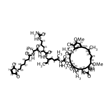 C=C/C(=C\C=C(/C)NC(=O)O[C@H]1CC(=O)N(C)c2cc(cc(OC)c2Cl)C/C(C)=C/C=C/[C@@H](OC)[C@@]2(O)C[C@H](OC(=O)N2)[C@@H](C)[C@@H]2O[C@@]12C)NC(=O)[C@H](CCCNC(N)=O)NC(=O)[C@@H](NC(=O)CCCCCN1C(=O)C=CC1=O)C(C)C